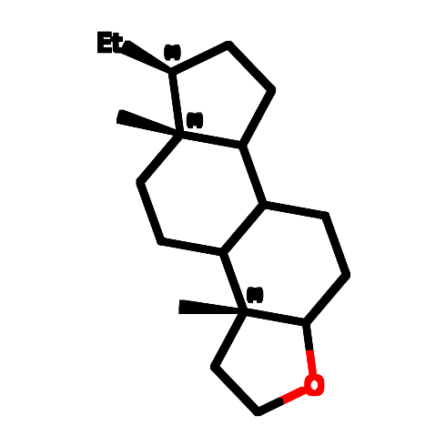 CC[C@H]1CCC2C3CCC4OCC[C@]4(C)C3CC[C@@]21C